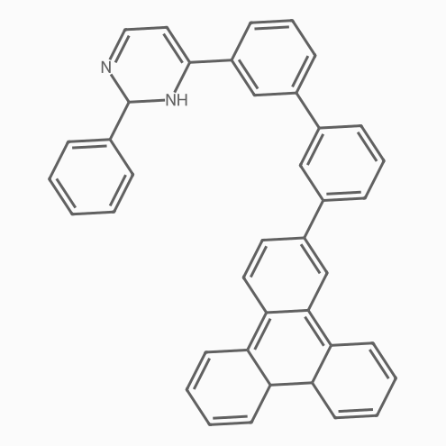 C1=CC2=c3ccc(-c4cccc(-c5cccc(C6=CC=NC(c7ccccc7)N6)c5)c4)cc3=C3C=CC=CC3C2C=C1